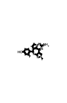 Cn1cc2c(n1)N=C(c1ccc(O)cc1F)c1ccn3nc(N)nc-2c13